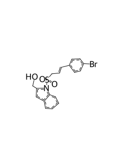 O=S(=O)(CC=Cc1ccc(Br)cc1)n1c(CO)cc2ccccc21